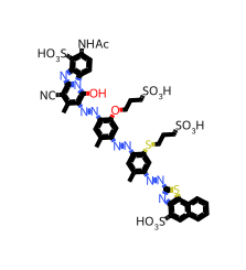 CC(=O)Nc1ccc2c(nc3c(C#N)c(C)c(N=Nc4cc(C)c(N=Nc5cc(C)c(N=Nc6nc7c(S(=O)(=O)O)cc8ccccc8c7s6)cc5SCCCS(=O)(=O)O)cc4OCCCS(=O)(=O)O)c(O)n32)c1S(=O)(=O)O